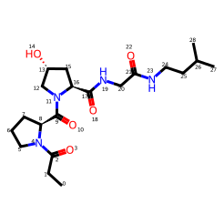 CCC(=O)N1CCC[C@H]1C(=O)N1C[C@H](O)C[C@H]1C(=O)NCC(=O)NCCC(C)C